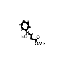 CCN(CCC(=O)OC)c1cc[c]cc1